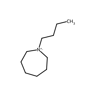 CCCC[N+]1CCCCCC1